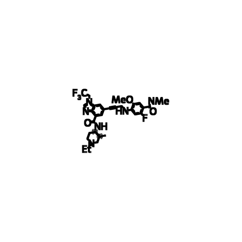 CCN1CC[C@H](NC(=O)c2cc(C#CCNc3cc(F)c(C(=O)NC)cc3OC)cc3c2ncn3CC(F)(F)F)[C@@H](C)C1